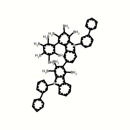 Bc1c(B)c(B)c(-c2c(B)c(B)c(B)c3c2c2cc(-c4c(B)c(B)c5c(c4B)c4ccccc4n5-c4cccc(-c5ccccc5)c4)ccc2n3-c2cccc(-c3ccccc3)c2)c(B)c1B